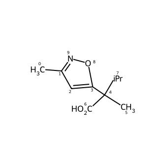 Cc1cc(C(C)(C(=O)O)C(C)C)on1